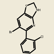 Clc1ccccc1-c1nc2c(cc1Br)SCN2